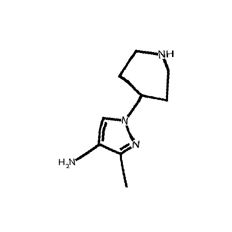 Cc1nn(C2CCNCC2)cc1N